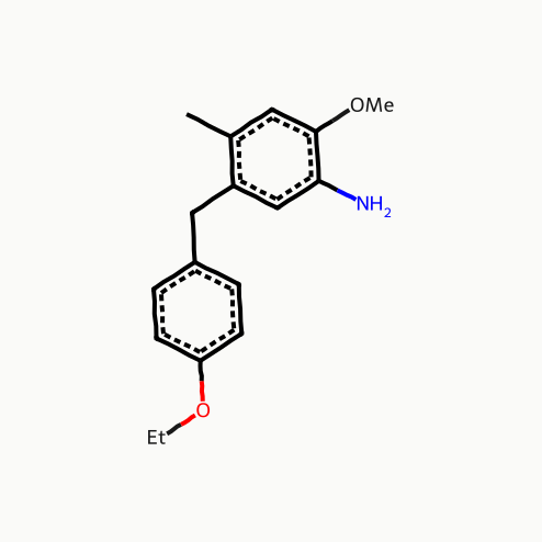 CCOc1ccc(Cc2cc(N)c(OC)cc2C)cc1